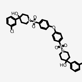 O=S(=O)(c1ccc(Oc2ccc(S(=O)(=O)N3CCC(O)(c4cccc(Cl)c4)CC3)cc2)cc1)N1CCC(O)(c2cccc(Cl)c2)CC1